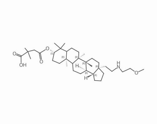 COCCNCC[C@]12CCC[C@@H]1[C@H]1CCC3[C@@]4(C)CC[C@H](OC(=O)CC(C)(C)C(=O)O)C(C)(C)C4CC[C@@]3(C)[C@]1(C)CC2